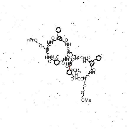 CCCOCCOCCN1CCNC(=O)c2cccc(c2C)C(=O)NCCN(CC(CN2CCNC(=O)c3cccc(c3C)C(=O)NCCN(CCOCCOCCOC)CCNC(=O)c3cccc(c3OCc3ccccc3)C(=O)NCC2)OCCCCN)CCNC(=O)c2cccc(c2OCc2ccccc2)C(=O)NCC1